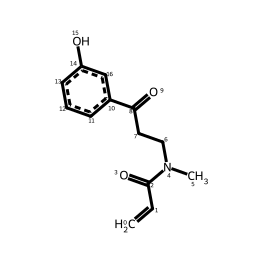 C=CC(=O)N(C)CCC(=O)c1cccc(O)c1